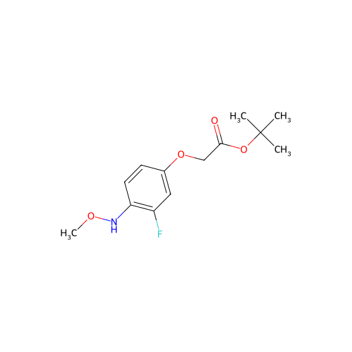 CONc1ccc(OCC(=O)OC(C)(C)C)cc1F